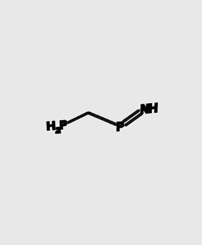 N=PCP